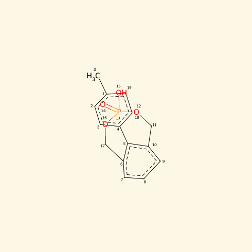 Cc1ccc(-c2c3cccc2COP(=O)(O)OC3)cc1